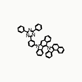 c1ccc(-c2nc(-c3ccccc3)nc(-c3cccc(-n4c5ccccc5c5c(-n6c7ccccc7c7c8ccccc8ccc76)c6ccccc6cc54)c3)n2)cc1